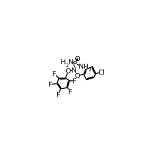 NP(N)(=O)N(Oc1ccc(Cl)cc1)Oc1c(F)c(F)c(F)c(F)c1F